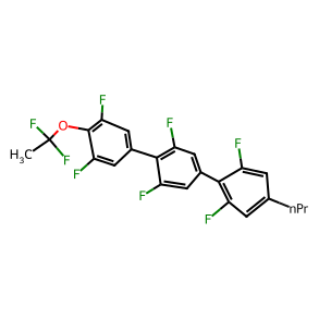 CCCc1cc(F)c(-c2cc(F)c(-c3cc(F)c(OC(C)(F)F)c(F)c3)c(F)c2)c(F)c1